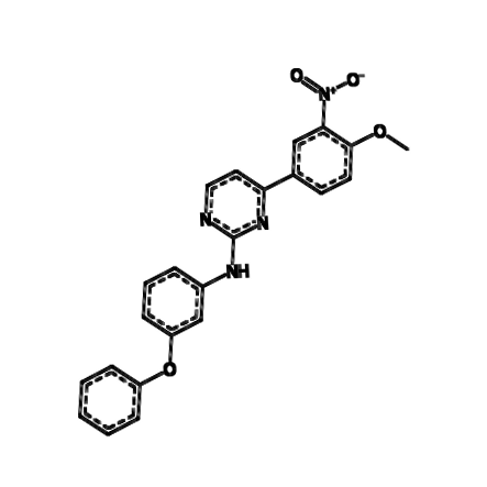 COc1ccc(-c2ccnc(Nc3cccc(Oc4ccccc4)c3)n2)cc1[N+](=O)[O-]